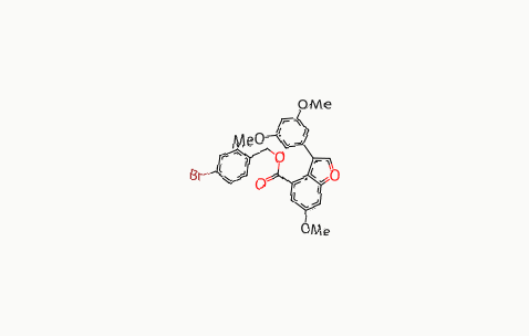 COc1cc(OC)cc(-c2coc3cc(OC)cc(C(=O)OCc4ccc(Br)cc4)c23)c1